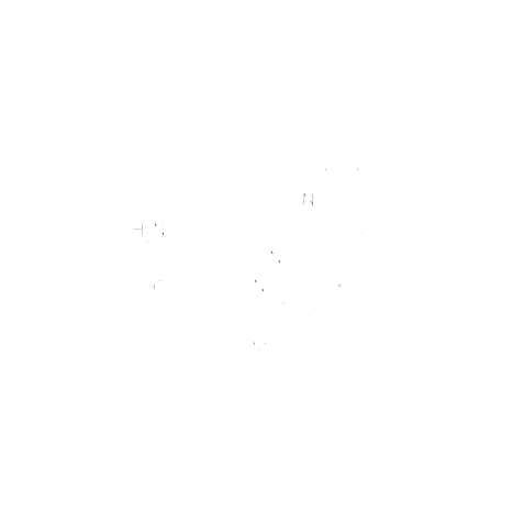 NC(=O)CCn1nc(-c2ccccn2)ccc1=O